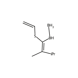 BB/C(SC=C)=C(/C)C(C)C